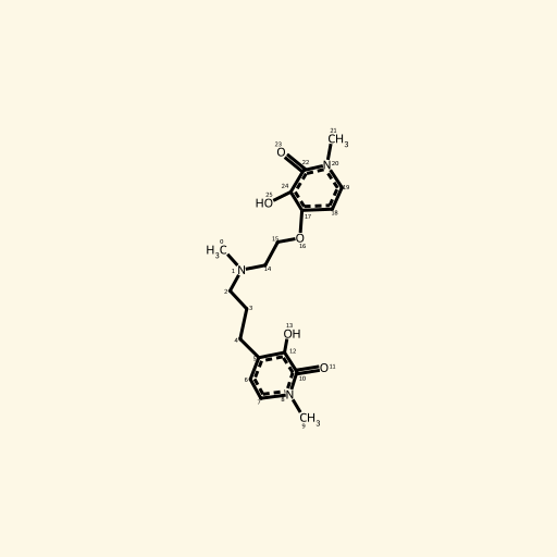 CN(CCCc1ccn(C)c(=O)c1O)CCOc1ccn(C)c(=O)c1O